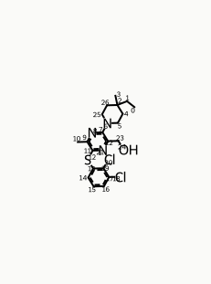 CCC1(C)CCN(c2nc(C)c(Sc3cccc(Cl)c3Cl)nc2CO)CC1